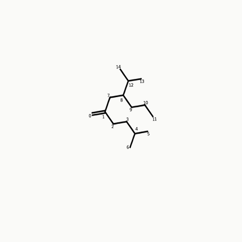 C=C(CCC(C)C)CC(CCC)C(C)C